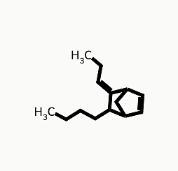 CCC=C1C2C=CC(C2)C1CCCC